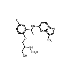 CC(Nc1ccn2ncc([N+](=O)[O-])c2n1)c1cc(F)ccc1OCC(CO)NC(=O)O